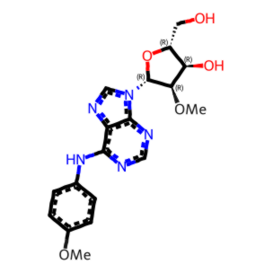 COc1ccc(Nc2ncnc3c2ncn3[C@@H]2O[C@H](CO)[C@@H](O)[C@H]2OC)cc1